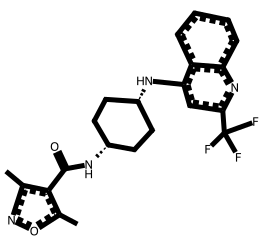 Cc1noc(C)c1C(=O)N[C@H]1CC[C@@H](Nc2cc(C(F)(F)F)nc3ccccc23)CC1